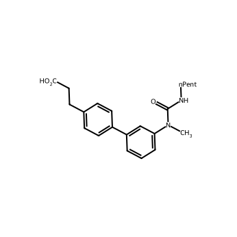 CCCCCNC(=O)N(C)c1cccc(-c2ccc(CCC(=O)O)cc2)c1